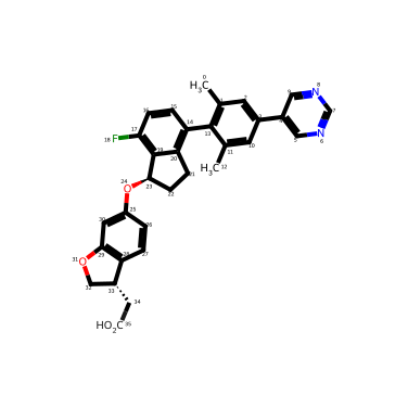 Cc1cc(-c2cncnc2)cc(C)c1-c1ccc(F)c2c1CC[C@H]2Oc1ccc2c(c1)OC[C@H]2CC(=O)O